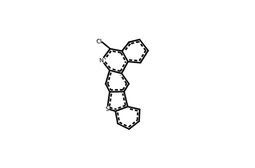 Clc1nc2cc3sc4ccccc4c3cc2c2ccccc12